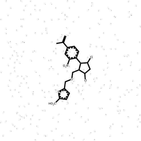 C=C(C)c1ccc(C2C(Cl)CC(Cl)C2COCc2ccc(C(=O)O)s2)c([N+](=O)[O-])c1